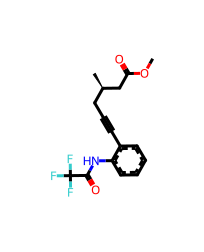 COC(=O)C[C@H](C)CC#Cc1ccccc1NC(=O)C(F)(F)F